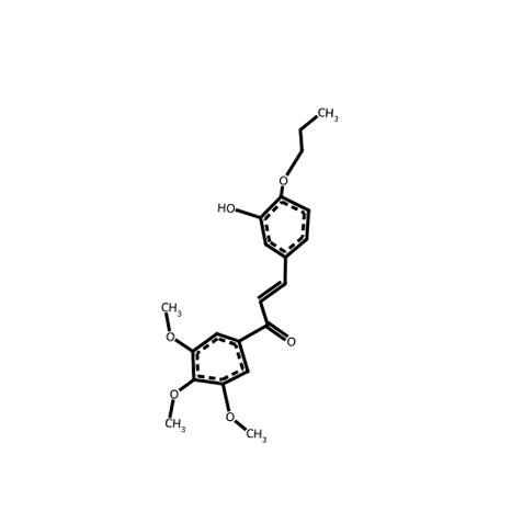 CCCOc1ccc(C=CC(=O)c2cc(OC)c(OC)c(OC)c2)cc1O